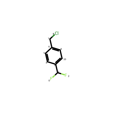 FC(F)c1ccc(CCl)cc1